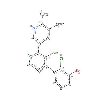 COc1cc(-c2nccc(-c3cccc(Br)c3Cl)c2Cl)cnc1C=O